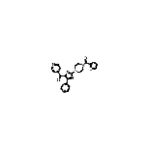 O=C(c1ccncc1)c1sc(N2CCN(C(=O)c3ccco3)CC2)nc1-c1ccccc1